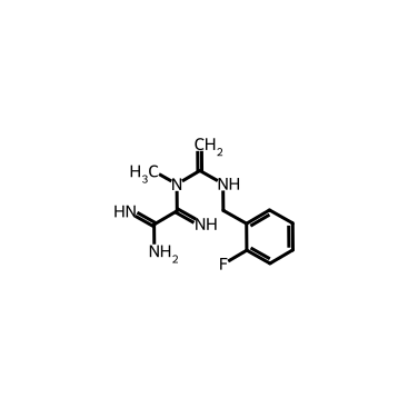 C=C(NCc1ccccc1F)N(C)C(=N)C(=N)N